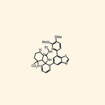 CCNC(=O)NC1(C2CNCCC2(C)C(=O)O)N=CC=CN1c1cc(-c2ccc(OC)c(OC)n2)c2scnc2c1